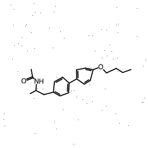 CCCCOc1ccc(-c2ccc(CC(C)NC(C)=O)cc2)cc1